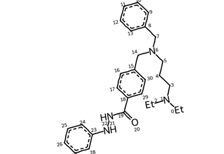 CCN(CC)CCCN(Cc1ccccc1)Cc1ccc(C(=O)NNc2ccccc2)cc1